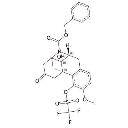 COc1ccc2c(c1OS(=O)(=O)C(F)(F)F)[C@]13CCN(C(=O)OCc4ccccc4)[C@H](C2)[C@]1(O)CCC(=O)C3